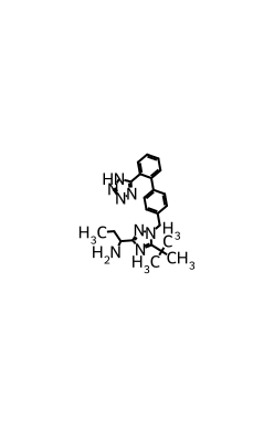 CCC(N)c1nc(C(C)(C)C)n(Cc2ccc(-c3ccccc3-c3nnn[nH]3)cc2)n1